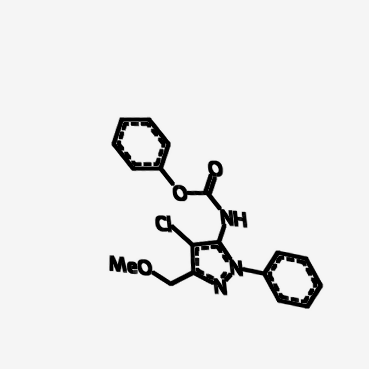 COCc1nn(-c2ccccc2)c(NC(=O)Oc2ccccc2)c1Cl